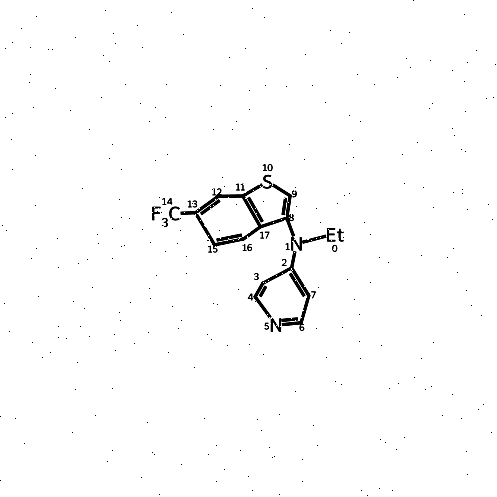 CCN(c1ccncc1)c1csc2cc(C(F)(F)F)ccc12